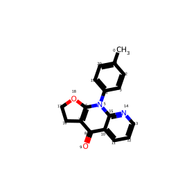 Cc1ccc(-n2c3c(c(=O)c4cccnc42)CCO3)cc1